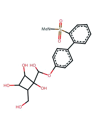 CNS(=O)(=O)c1ccccc1-c1ccc(OC(O)C2(O)C(O)C(O)C2CO)cc1